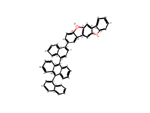 c1ccc2c(-c3c4ccccc4c(-c4ccc(-c5ccc6oc7cc8c(cc7c6c5)oc5ccccc58)c5ccccc45)c4ccccc34)cccc2c1